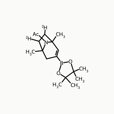 [2H]C1C([2H])C2(C)CC(B3OC(C)(C)C(C)(C)O3)=CC1(C)N2C(C)=O